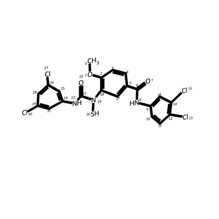 COc1ccc(C(=O)Nc2ccc(Cl)c(Cl)c2)cc1N(S)C(=O)Nc1cc(Cl)cc(Cl)c1